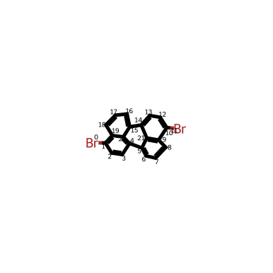 Brc1ccc2c3cccc4c(Br)ccc(c5cccc1c52)c43